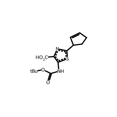 CC(C)(C)OC(=O)Nc1sc(C2C=CCC2)nc1C(=O)O